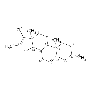 CC1=C(Cl)[C@@]2(C)CCC3C(CC=C4C[C@@H](C)CC[C@@]43C)C2C1